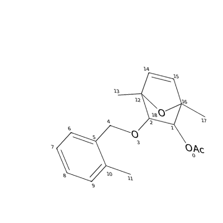 CC(=O)OC1C(OCc2ccccc2C)C2(C)C=CC1(C)O2